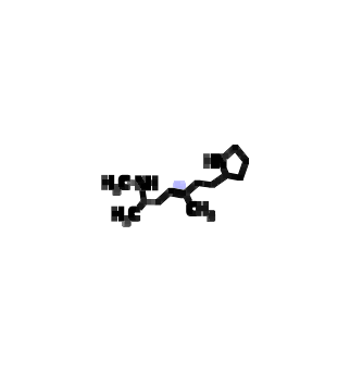 CNC(C)C/C=C(\C)CCC1CCCN1